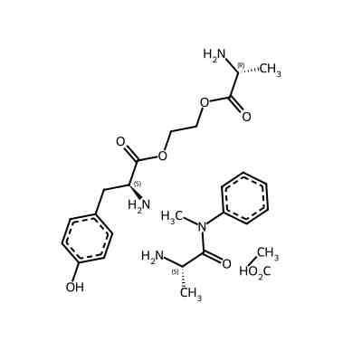 CC(=O)O.C[C@@H](N)C(=O)OCCOC(=O)[C@@H](N)Cc1ccc(O)cc1.C[C@H](N)C(=O)N(C)c1ccccc1